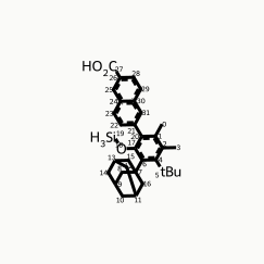 Cc1c(C)c(C(C)(C)C)c(C23CC4CC(CC(C4)C2)C3)c(O[SiH3])c1-c1ccc2cc(C(=O)O)ccc2c1